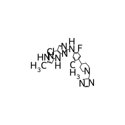 Cc1cc(Nc2nc(Nc3cc(C)c(C4CCN(Cc5cnccn5)CC4)cc3F)ncc2Cl)n[nH]1